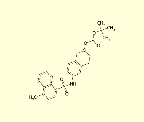 Cc1ccc(S(=O)(=O)Nc2ccc3c(c2)CCN(OC(=O)OC(C)(C)C)C3)c2ccccc12